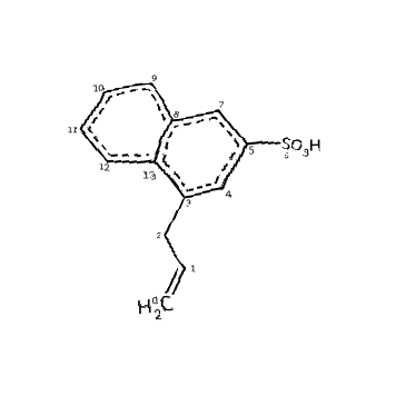 C=CCc1cc(S(=O)(=O)O)cc2ccccc12